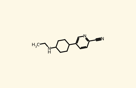 CCNC1CCC(c2ccc(C#N)nc2)CC1